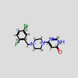 O=c1cc(N2CCN(Cc3cc(Br)ccc3F)CC2)nc[nH]1